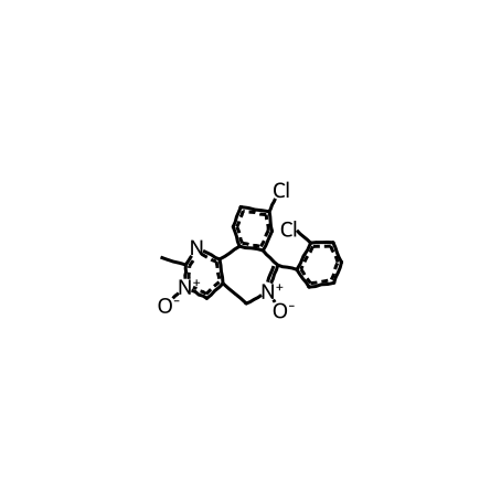 Cc1nc2c(c[n+]1[O-])C[N+]([O-])=C(c1ccccc1Cl)c1cc(Cl)ccc1-2